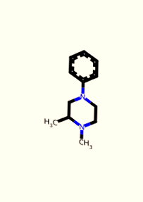 CC1CN(c2ccccc2)CCN1C